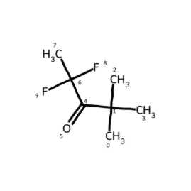 CC(C)(C)C(=O)C(C)(F)F